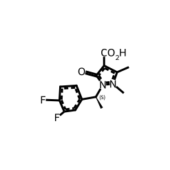 Cc1c(C(=O)O)c(=O)n([C@@H](C)c2ccc(F)c(F)c2)n1C